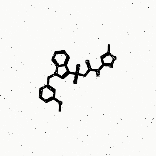 COc1cccc(Cn2cc(S(=O)(=O)CC(=O)Nc3cc(C)on3)c3ccccc32)c1